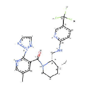 Cc1cnc(-n2nccn2)c(C(=O)N2CCC[C@@H](C)[C@H]2CNc2ccc(C(F)(F)F)cn2)c1